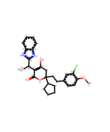 CC(C)Oc1ccc(CCC2(C3CCCC3)CC(O)=C(C(C)c3nc4ccccc4[nH]3)C(=O)O2)cc1Cl